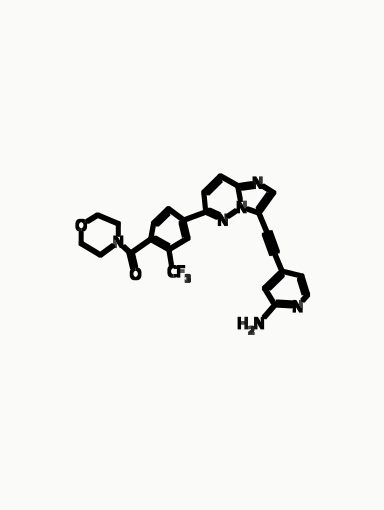 Nc1cc(C#Cc2cnc3ccc(-c4ccc(C(=O)N5CCOCC5)c(C(F)(F)F)c4)nn23)ccn1